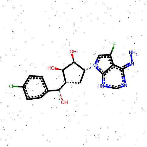 N/N=c1/nc[nH]c2c1c(F)cn2[C@@H]1C[C@H]([C@H](O)c2ccc(Cl)cc2)[C@@H](O)[C@H]1O